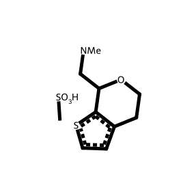 CNCC1OCCc2ccsc21.CS(=O)(=O)O